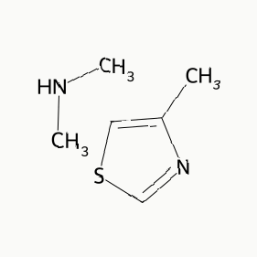 CNC.Cc1cscn1